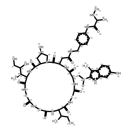 CCC(C)C1NC(=O)CNC(=O)CNC(=O)C([C@@H](C)C(O)CO)NC(=O)C2C[C@@H](O)CN2C(=O)C(CC(=O)NCc2ccc(NC(=O)C(C)NC)cc2)NC(=O)[C@H](C[S+]([O-])c2[nH]c3cc(O)ccc3c2C)NC(=O)CNC1=O